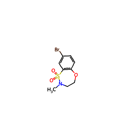 CN1CCOc2ccc(Br)cc2S1(=O)=O